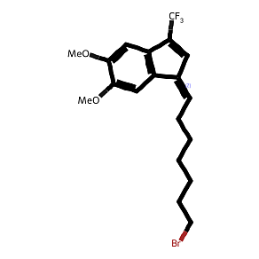 COc1cc2c(cc1OC)/C(=C\CCCCCCBr)C=C2C(F)(F)F